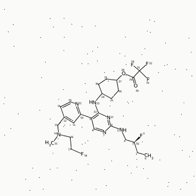 CC[C@H](F)CNc1ncc(-c2cc(CN(C)CCF)ccn2)c(NC2CCC(OC(=O)C(F)(F)F)CC2)n1